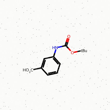 CC(C)(C)OC(=O)Nc1c[c]cc(C(=O)O)c1